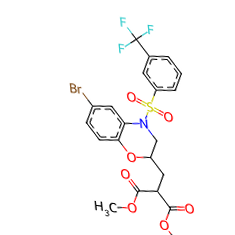 COC(=O)C(CC1CN(S(=O)(=O)c2cccc(C(F)(F)F)c2)c2cc(Br)ccc2O1)C(=O)OC